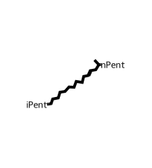 [CH2]CCCCC(C)CC=CCCCCCCCCCCC(C)CC[CH2]